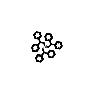 c1ccc(C([CH2][Al]([CH2]C(c2ccccc2)c2ccccc2)[CH2]C(c2ccccc2)c2ccccc2)c2ccccc2)cc1